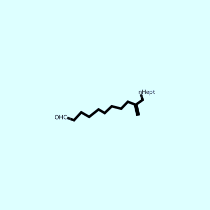 C=C(CCCCCCCC)CCCCCCCCC=O